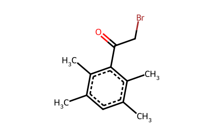 Cc1cc(C)c(C)c(C(=O)CBr)c1C